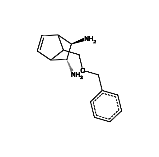 N[C@@H]1C2C=CC(C2COCc2ccccc2)[C@H]1N